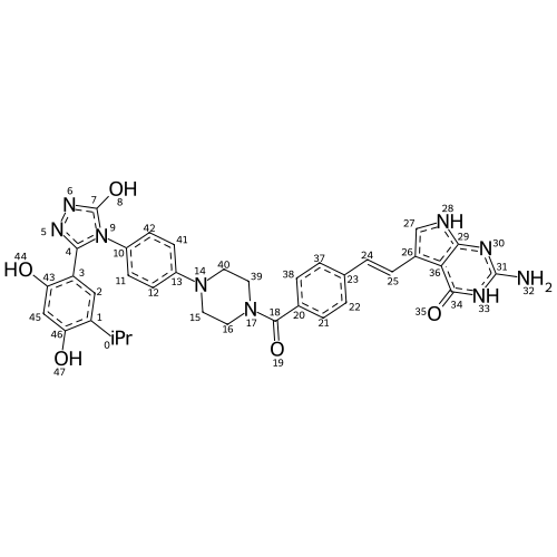 CC(C)c1cc(-c2nnc(O)n2-c2ccc(N3CCN(C(=O)c4ccc(C=Cc5c[nH]c6nc(N)[nH]c(=O)c56)cc4)CC3)cc2)c(O)cc1O